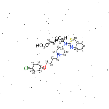 CN(C1=Nc2ccccc2CS1)C1CCN(CCCCOc2ccc(Cl)cc2)CC1.O=C(O)C=CC(=O)O